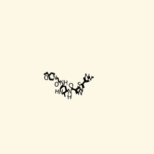 CC1NC=C(NC(=O)CN2CCC3(CCO3)CC2)C=C1NC(=O)c1cnn2cc(-c3cnn(C)c3)sc12